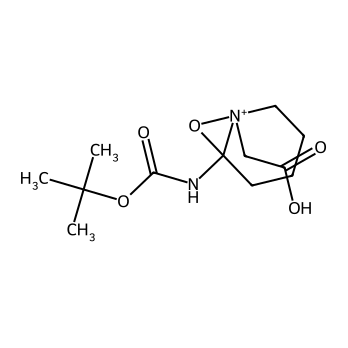 CC(C)(C)OC(=O)NC12CCCC[N+]1(CC(=O)O)O2